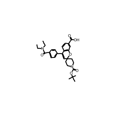 CCN(CC)C(=O)c1ccc(C2=CC3(CCN(C(=O)OC(C)(C)C)CC3)Oc3cc(C(=O)O)ccc32)cc1